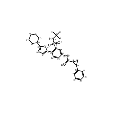 CC(C)(C)NS(=O)(=O)c1cc(NC(=O)C2CC2c2ccccc2)ccc1-c1cnc(C2CCCCC2)s1